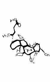 CC(CCC(=O)O)[C@H]1CC[C@H]2[C@@H]3C(O)[C@@H](C)[C@@H]4C[C@H](O)CC[C@]4(C)[C@H]3CC[C@]12C